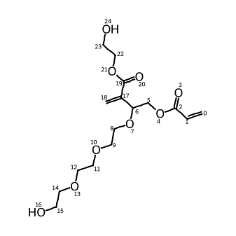 C=CC(=O)OCC(OCCOCCOCCO)C(=C)C(=O)OCCO